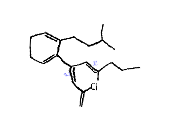 C=C(Cl)/C=C(\C=C(/C)CCC)C1=CCCC=C1CCC(C)C